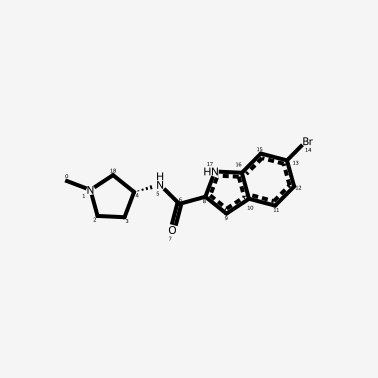 CN1CC[C@@H](NC(=O)c2cc3ccc(Br)cc3[nH]2)C1